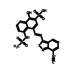 [C-]#[N+]c1cncc2c(/N=N/c3cc(S(=O)(=O)O)c(O)c4cccc(NS(C)(=O)=O)c34)snc12